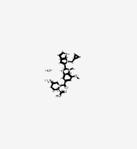 COc1cc(C(=O)N2CC(N)CC[C@@H]2C(=O)O)cc2nc(-c3cc4ccsc4n3CC3CC3)n(C)c12.Cl